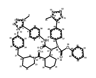 Cn1nnnc1-c1ccc(NC(=O)N(C2CCCCC2C(=O)N2CCCC(Cc3ccc(F)cc3)C2)N(C(=O)Oc2ccccc2)c2ccc(-c3nnnn3C)cc2)cc1